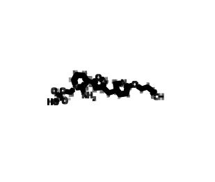 C#CCCOc1ccc(Cc2cc(-c3ccc[n+](COP(=O)([O-])O)c3N)on2)cn1